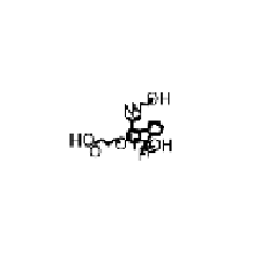 O=C(O)CCCOc1cc(-c2cnn(CCO)c2)c2c(c1)C(O)(C(F)(F)F)c1ccccc1-2